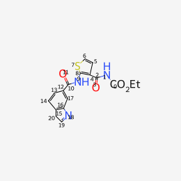 CCOC(=O)NC(=O)c1ccsc1NC(=O)c1ccc2c(c1)N=CC2